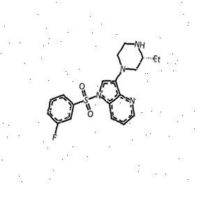 CC[C@@H]1CN(c2cn(S(=O)(=O)c3cccc(F)c3)c3cccnc23)CCN1